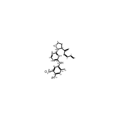 C=C/C=C\C(=C)C1CCON1c1bcnc(Nc2cc([N+](=O)[O-])c(C(C)C)cc2C)b1